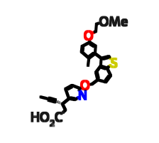 CC#C[C@@H](CC(=O)O)c1ccc(OCc2ccc3scc(-c4cc(OCCOC)ccc4C)c3c2)nc1